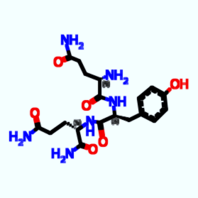 NC(=O)CC[C@H](NC(=O)[C@H](Cc1ccc(O)cc1)NC(=O)[C@@H](N)CCC(N)=O)C(N)=O